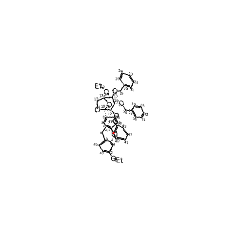 CCOc1ccc(Cc2cc([C@]34OC[C@](OCC)(O3)[C@@H](OCc3ccccc3)[C@H](OCc3ccccc3)[C@H]4OCc3ccccc3)ccc2Cl)cc1